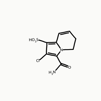 NC(=O)c1c(Cl)c(S(=O)(=O)O)c2n1CCC=C2